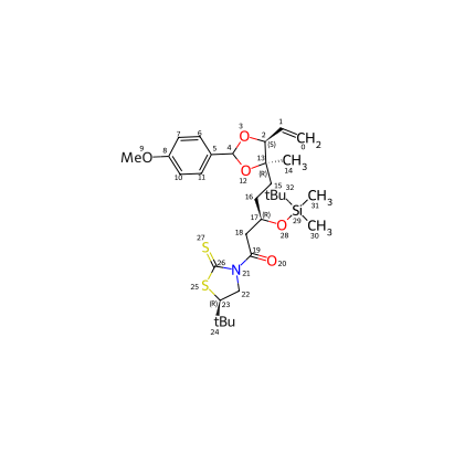 C=C[C@@H]1OC(c2ccc(OC)cc2)O[C@]1(C)CC[C@H](CC(=O)N1C[C@@H](C(C)(C)C)SC1=S)O[Si](C)(C)C(C)(C)C